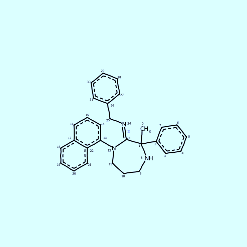 CC1(c2ccccc2)NCCCN(c2cccc3ccccc23)/C1=N\Cc1ccccc1